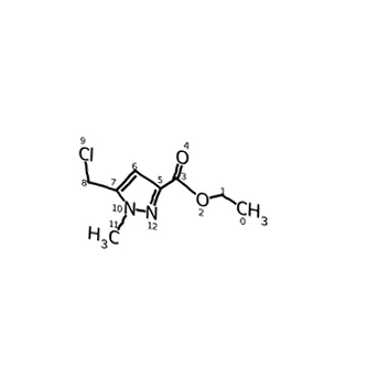 CCOC(=O)c1cc(CCl)n(C)n1